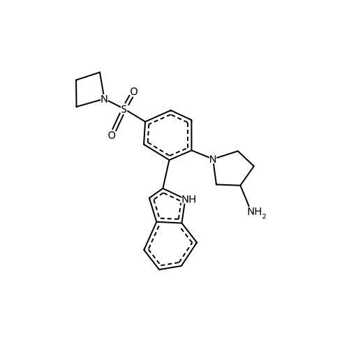 NC1CCN(c2ccc(S(=O)(=O)N3CCC3)cc2-c2cc3ccccc3[nH]2)C1